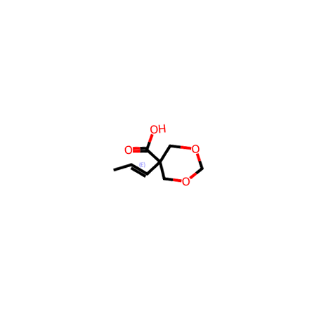 C/C=C/C1(C(=O)O)COCOC1